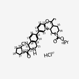 CC(C)OC(=O)N1CCC(C(C)Oc2ccc(-c3ccc4c(c3)CNC(C(=O)N3CCCC3C#N)C4)cn2)CC1.Cl